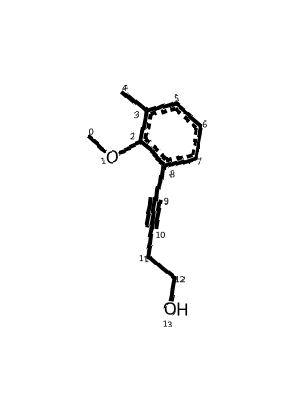 COc1c(C)cccc1C#CCCO